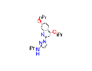 CCCOc1ccc2c(OC(C)C)cc(-n3ccc(NC(C)C)n3)nc2c1